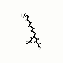 CCCCCCCCC(CCO)CCCO